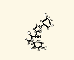 O=C(Nc1ccn(-c2cncc(F)c2)n1)C1(c2ncc(Cl)cc2F)CC1